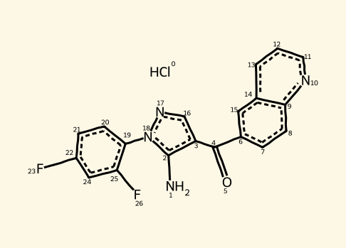 Cl.Nc1c(C(=O)c2ccc3ncccc3c2)cnn1-c1ccc(F)cc1F